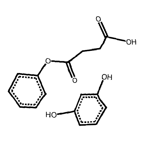 O=C(O)CCC(=O)Oc1ccccc1.Oc1cccc(O)c1